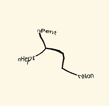 [CH2]CCCCC(CCCCCCC)CCCCCCCCCCC